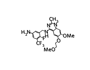 COCCOc1cc2c(NCc3cc(N)cc(C(F)(F)F)c3F)nc(C)nc2cc1OC